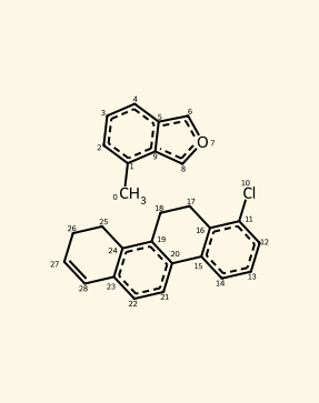 Cc1cccc2cocc12.Clc1cccc2c1CCc1c-2ccc2c1CCC=C2